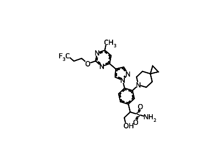 Cc1cc(-c2cnn(-c3ccc(C(CO)S(N)(=O)=O)cc3N3CCC4(CC3)CC4)c2)nc(OCCC(F)(F)F)n1